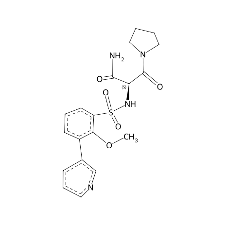 COc1c(-c2cccnc2)cccc1S(=O)(=O)N[C@@H](C(N)=O)C(=O)N1CCCC1